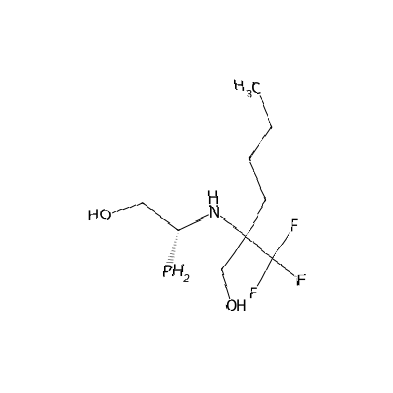 CCCCC(CO)(N[C@H](P)CO)C(F)(F)F